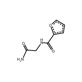 NC(=O)CNC(=O)c1ccco1